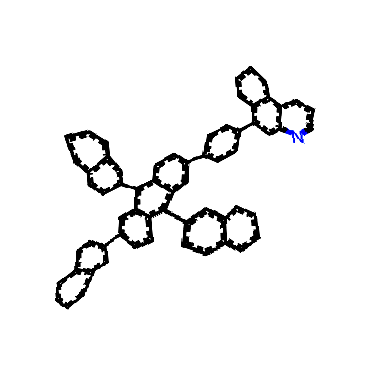 c1ccc2cc(-c3ccc4c(-c5ccc6ccccc6c5)c5cc(-c6ccc(-c7cc8ncccc8c8ccccc78)cc6)ccc5c(-c5ccc6ccccc6c5)c4c3)ccc2c1